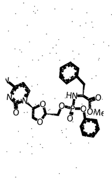 COC(=O)[C@H](Cc1ccccc1)NP(=O)(OC[C@H]1OC[C@@H](n2ccc(N)nc2=O)O1)Oc1ccccc1